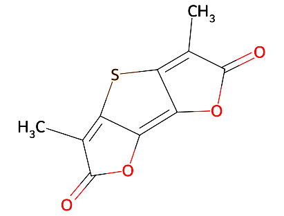 CC1=c2sc3c(c2OC1=O)OC(=O)C=3C